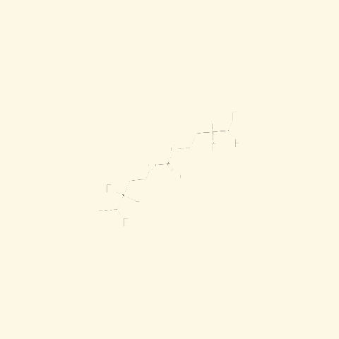 O=C(OCCC(F)(F)C(F)F)OCCC(F)(F)C(F)F